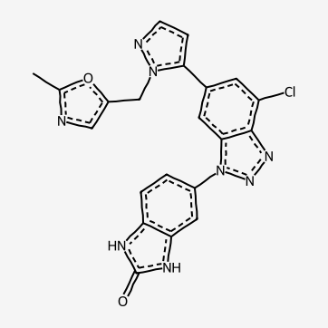 Cc1ncc(Cn2nccc2-c2cc(Cl)c3nnn(-c4ccc5[nH]c(=O)[nH]c5c4)c3c2)o1